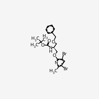 Cc1nc(OC[C@H](COCc2ccccc2)NC(=O)OC(C)(C)C)c(Br)cc1Br